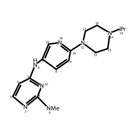 CNc1nccc(Nc2ccc(N3CCN(C(C)C)CC3)nc2)n1